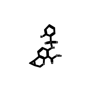 COC(=O)c1c(NS(=O)(=O)c2ccccc2Br)ccc2c1OCC1CC21